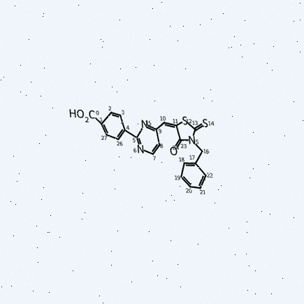 O=C(O)c1ccc(-c2nccc(C=C3SC(=S)N(Cc4ccccc4)C3=O)n2)cc1